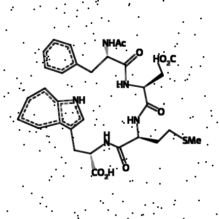 CSCC[C@H](NC(=O)[C@H](CC(=O)O)NC(=O)[C@H](Cc1ccccc1)NC(C)=O)C(=O)N[C@@H](Cc1c[nH]c2ccccc12)C(=O)O